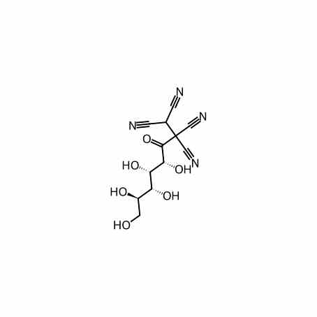 N#CC(C#N)C(C#N)(C#N)C(=O)[C@H](O)[C@@H](O)[C@H](O)[C@H](O)CO